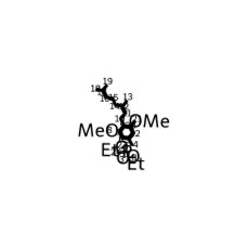 CCOP(=O)(Cc1cc(OC)c(CC=C(C)CCC=C(C)C)c(OC)c1)OCC